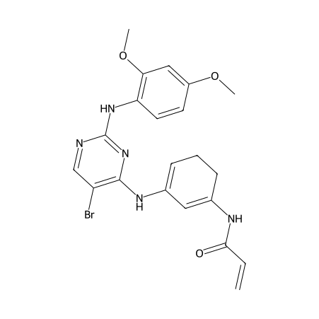 C=CC(=O)NC1=CC(Nc2nc(Nc3ccc(OC)cc3OC)ncc2Br)=CCC1